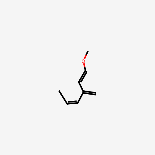 C=C(C=COC)/C=C\C